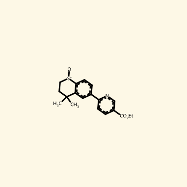 CCOC(=O)c1ccc(-c2ccc3c(c2)C(C)(C)CC[S+]3[O-])nc1